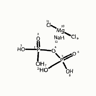 O=P(O)(O)OP(=O)(O)O.[Cl][Mg][Cl].[NaH]